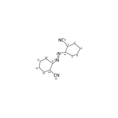 N#CC1CCCCC1N=NC1CCCCC1C#N